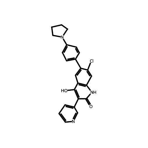 O=c1[nH]c2cc(Cl)c(-c3ccc(N4CCCC4)cc3)cc2c(O)c1-c1cccnc1